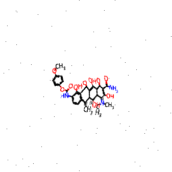 COc1ccc(OC(=O)Nc2ccc3c(c2O)C(=O)C2=C(O)C4C(=O)C(C(N)=O)=C(O)[C@@H](N(C)C)C4[C@@H](O)C2[C@H]3C)cc1